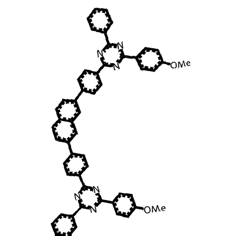 COc1ccc(-c2nc(-c3ccccc3)nc(-c3ccc(-c4ccc5ccc(-c6ccc(-c7nc(-c8ccccc8)nc(-c8ccc(OC)cc8)n7)cc6)cc5c4)cc3)n2)cc1